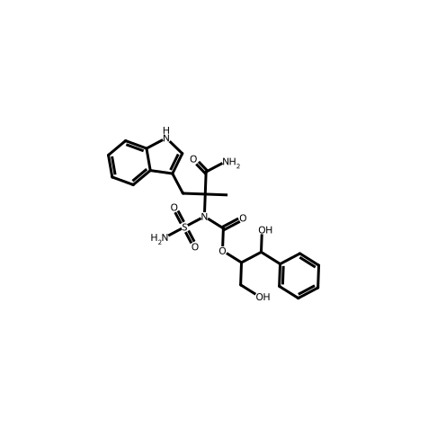 CC(Cc1c[nH]c2ccccc12)(C(N)=O)N(C(=O)OC(CO)C(O)c1ccccc1)S(N)(=O)=O